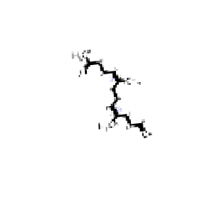 CC(=O)CC/C=C(/C)CC/C=C(/C)CCC=O